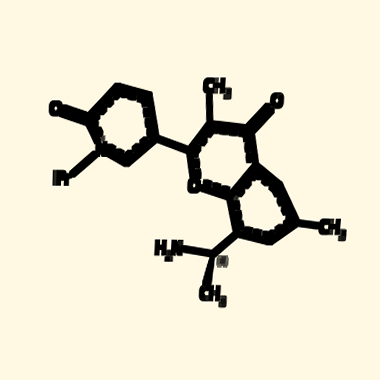 Cc1cc([C@@H](C)N)c2oc(-c3ccc(=O)n(C(C)C)c3)c(C)c(=O)c2c1